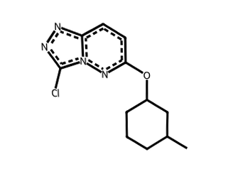 CC1CCCC(Oc2ccc3nnc(Cl)n3n2)C1